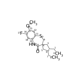 CCCCC1(CCCC)CSc2cc(OC)c(F)cc2NC1=O